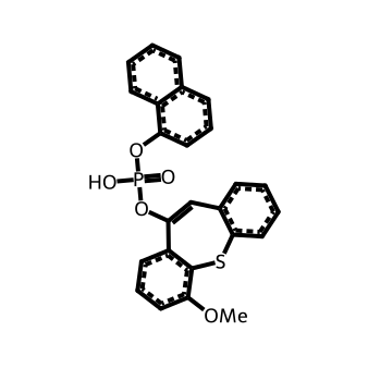 COc1cccc2c1Sc1ccccc1C=C2OP(=O)(O)Oc1cccc2ccccc12